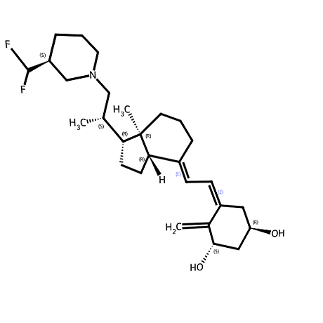 C=C1/C(=C\C=C2/CCC[C@]3(C)[C@@H]([C@H](C)CN4CCC[C@H](C(F)F)C4)CC[C@@H]23)C[C@@H](O)C[C@@H]1O